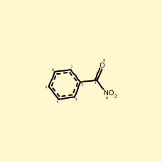 O=C(c1ccccc1)[N+](=O)[O-]